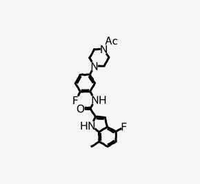 CC(=O)N1CCN(c2ccc(F)c(NC(=O)c3cc4c(F)ccc(C)c4[nH]3)c2)CC1